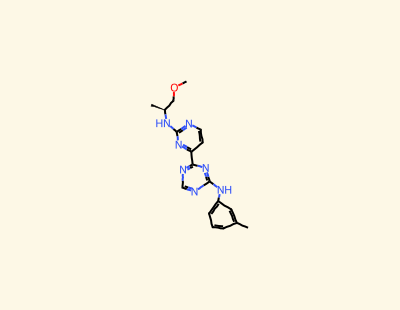 COC[C@H](C)Nc1nccc(-c2ncnc(Nc3cccc(C)c3)n2)n1